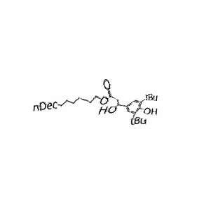 CCCCCCCCCCCCCCCCOC(=O)CC(O)c1cc(C(C)(C)C)c(O)c(C(C)(C)C)c1